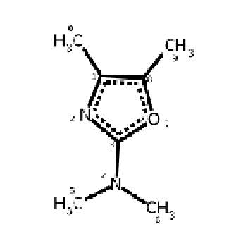 Cc1nc(N(C)C)oc1C